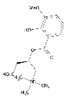 COc1cccc(C(=O)O[C@H](CC(=O)O)C[N+](C)(C)C)c1O